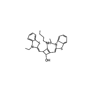 CCCCNC1=C(C=C2Sc3ccccc3N2CC)C(O)C1C=C1Sc2ccccc2N1CC